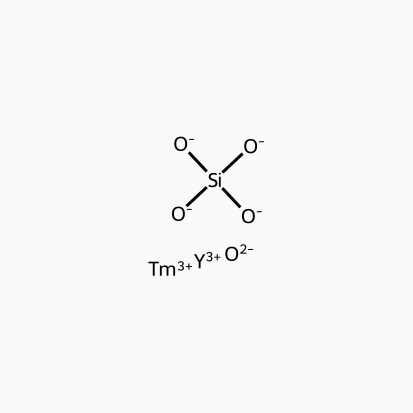 [O-2].[O-][Si]([O-])([O-])[O-].[Tm+3].[Y+3]